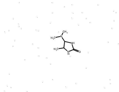 CC1NC(=O)NC1N(C)C